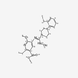 CCc1nc(OC)c(N=C(NO)N2CCN(c3ccccc3SC)CC2)cc1C(=O)OC